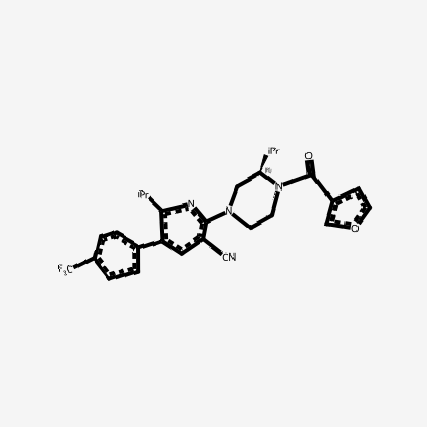 CC(C)c1nc(N2CCN(C(=O)c3ccoc3)[C@H](C(C)C)C2)c(C#N)cc1-c1ccc(C(F)(F)F)cc1